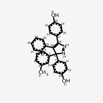 Cc1cccc(C2(c3ccc(O)cc3)N=NC(c3ccc(O)cc3)=C2c2ccccc2)c1